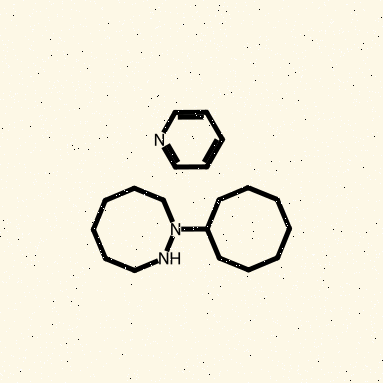 C1CCCC(N2CCCCCCN2)CCC1.c1ccncc1